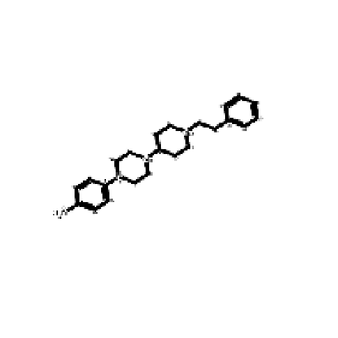 O=[N+]([O-])c1ccc(N2CCN(C3CCN(CCc4ccccc4)CC3)CC2)cc1